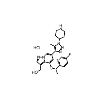 Cc1c(-c2cc(O[C@H](C)c3ccc(F)cn3)c3c(CO)cnn3c2)nnn1C1CCNCC1.Cl